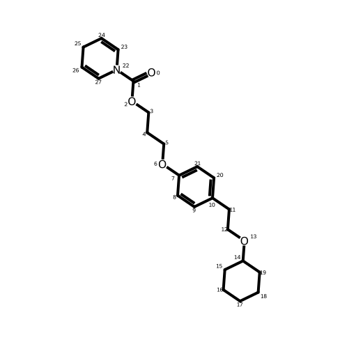 O=C(OCCCOc1ccc(CCOC2CCCCC2)cc1)N1C=CCC=C1